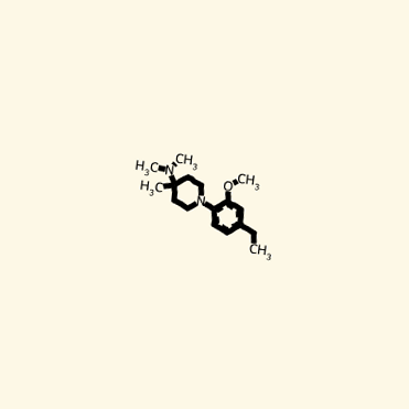 CCc1ccc(N2CCC(C)(N(C)C)CC2)c(OC)c1